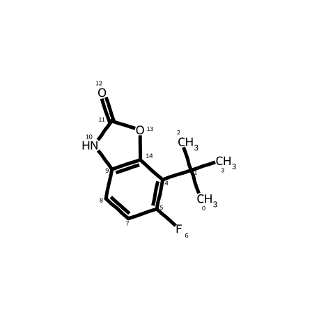 CC(C)(C)c1c(F)ccc2[nH]c(=O)oc12